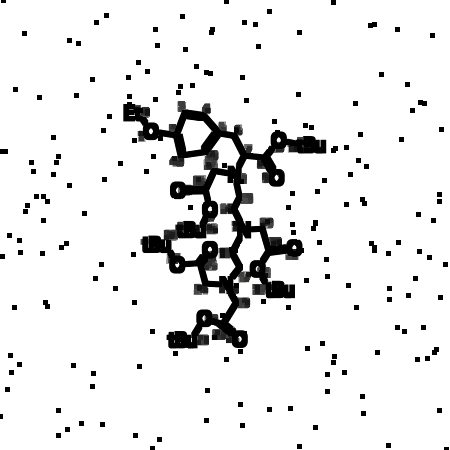 CCOc1ccc(CC(C(=O)OC(C)(C)C)N(CCN(CCN(CC(=O)OC(C)(C)C)CC(=O)OC(C)(C)C)CC(=O)OC(C)(C)C)CC(=O)OC(C)(C)C)cc1